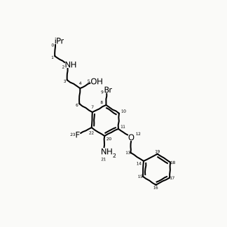 CC(C)CNCC(O)Cc1c(Br)cc(OCc2ccccc2)c(N)c1F